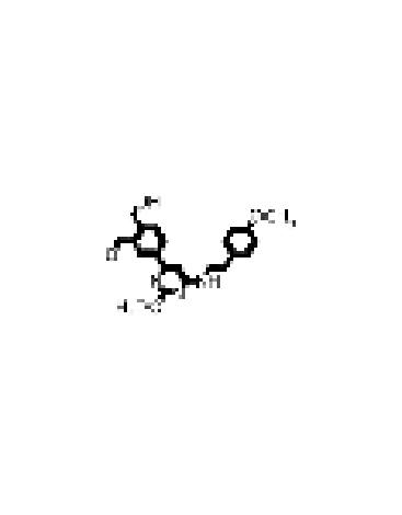 COc1ccc(CCNc2cc(-c3ccc(CO)c(C=O)c3)nc(OC)n2)cc1